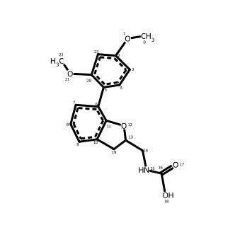 COc1ccc(-c2cccc3c2OC(CNC(=O)O)C3)c(OC)c1